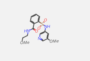 COCCNC(=O)c1ccccc1S(=O)(=O)Nc1cncc(OC)c1